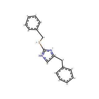 c1ccc(CSc2nc(Cc3ccccc3)c[nH]2)cc1